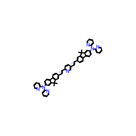 CC1(C)c2cc(/C=C/c3ccc(/C=C/c4ccc5c(c4)C(C)(C)c4cc(N(c6ccccn6)c6ccccn6)ccc4-5)nc3)ccc2-c2ccc(N(c3ccccn3)c3ccccn3)cc21